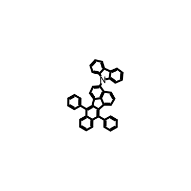 c1ccc(-c2c3c(c(-c4ccccc4)c4ccccc24)-c2ccc(-n4c5ccccc5c5ccccc54)c4cccc-3c24)cc1